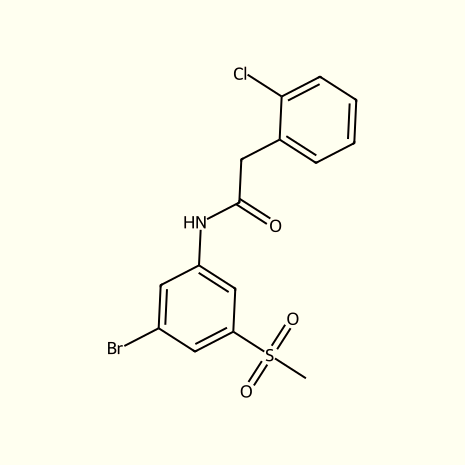 CS(=O)(=O)c1cc(Br)cc(NC(=O)Cc2ccccc2Cl)c1